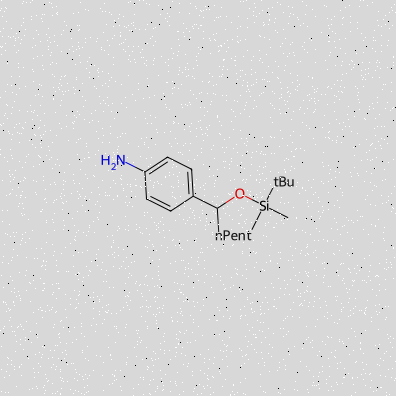 CCCCCC(O[Si](C)(C)C(C)(C)C)c1ccc(N)cc1